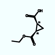 CCOC(=O)[C@@H]1C[C@@H]1C(=O)O